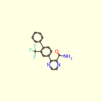 NC(=O)c1nccnc1-c1ccc(-c2ccccc2)c(C(F)(F)F)c1